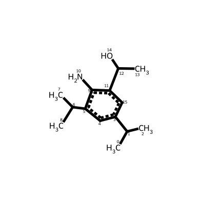 CC(C)c1cc(C(C)C)c(N)c(C(C)O)c1